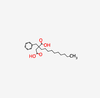 CCCCCCCCCCC(CC(=O)O)(Cc1ccccc1)C(=O)O